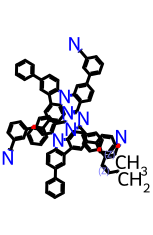 C=C/C=C\C(=C(/C)C#N)c1ccc(-c2nc(-c3ccc(-c4cccc(C#N)c4)cc3-n3c4ccc(-c5ccccc5)cc4c4cc(-c5ccccc5)ccc43)nc(-c3ccc(-c4cccc(C#N)c4)cc3-n3c4ccc(-c5ccccc5)cc4c4cc(-c5ccccc5)ccc43)n2)cc1